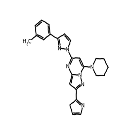 Cc1cccc(-c2ccn(-c3cc(N4CCCCC4)n4nc(C5=NC=CC5)cc4n3)n2)c1